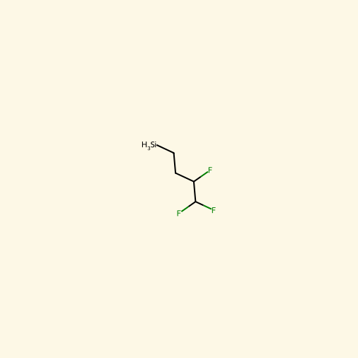 FC(F)C(F)CC[SiH3]